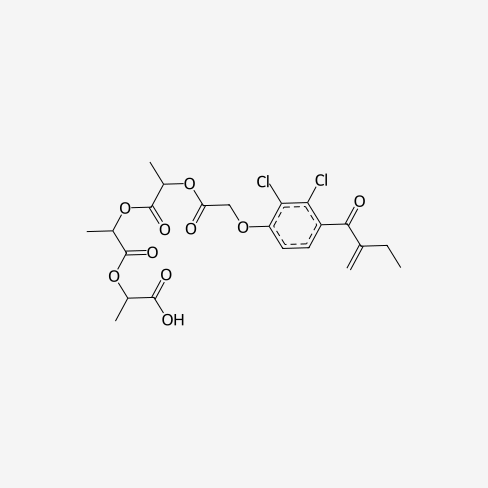 C=C(CC)C(=O)c1ccc(OCC(=O)OC(C)C(=O)OC(C)C(=O)OC(C)C(=O)O)c(Cl)c1Cl